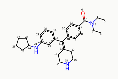 CCN(CC)C(=O)c1ccc(C(=C2CCNCC2)c2cccc(NC3CCCC3)c2)cc1